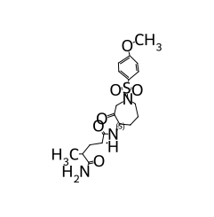 COc1ccc(S(=O)(=O)N2CCC[C@H](NC(=O)[CH]CC(C)C(N)=O)C(=O)C2)cc1